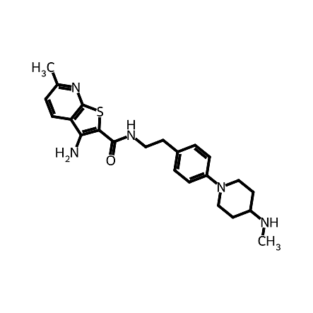 CNC1CCN(c2ccc(CCNC(=O)c3sc4nc(C)ccc4c3N)cc2)CC1